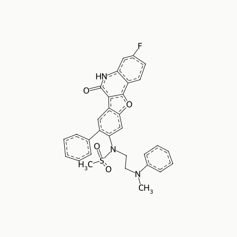 CN(CCN(c1cc2oc3c4ccc(F)cc4[nH]c(=O)c3c2cc1-c1ccccc1)S(C)(=O)=O)c1ccccc1